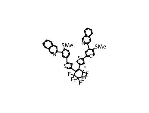 CSc1ccc(-c2cc(C3=C(c4csc(-c5ccc(SC)c(-c6cc7ccccc7cn6)c5)c4)C(F)(F)C(F)(F)C(F)(F)C3(F)F)cs2)cc1-c1cc2ccccc2cn1